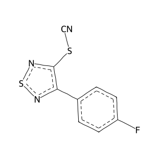 N#CSc1nsnc1-c1ccc(F)cc1